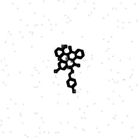 O=C(NOCc1ccc(Cl)cc1)[C@@H]1c2ccccc2C(=O)N(c2ccccc2O)[C@H]1c1ccc(Cl)cc1Cl